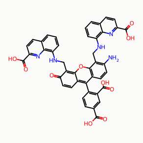 Nc1ccc2c(-c3ccc(C(=O)O)cc3C(=O)O)c3ccc(=O)c(CNc4cccc5ccc(C(=O)O)nc45)c-3oc2c1CNc1cccc2ccc(C(=O)O)nc12